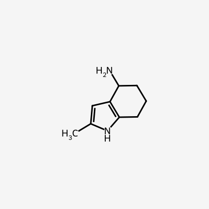 Cc1cc2c([nH]1)CCCC2N